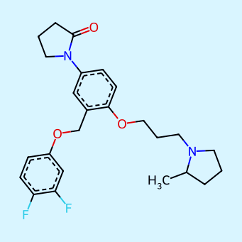 CC1CCCN1CCCOc1ccc(N2CCCC2=O)cc1COc1ccc(F)c(F)c1